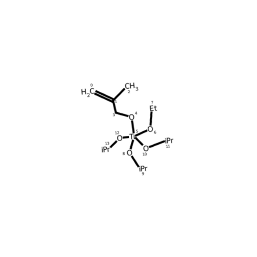 C=C(C)C[O][Ti]([O]CC)([O]C(C)C)([O]C(C)C)[O]C(C)C